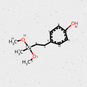 CO[Si](C)(CCc1ccc(O)cc1)OC